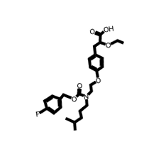 CCOC(Cc1ccc(OCCN(CCCC(C)C)C(=O)OCc2ccc(F)cc2)cc1)C(=O)O